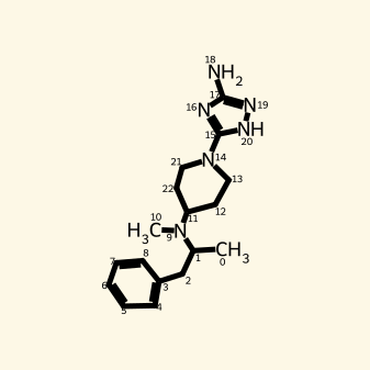 CC(Cc1ccccc1)N(C)C1CCN(c2nc(N)n[nH]2)CC1